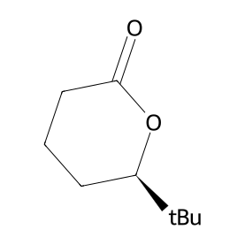 CC(C)(C)[C@H]1CCCC(=O)O1